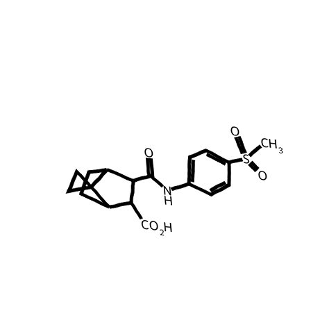 CS(=O)(=O)c1ccc(NC(=O)C2C(C(=O)O)C3CCC2C32CC2)cc1